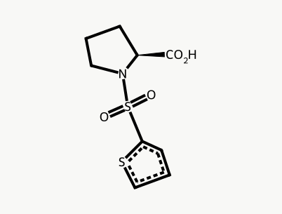 O=C(O)[C@@H]1CCCN1S(=O)(=O)c1cccs1